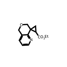 CCOC(=O)C1CC12COCc1cccnc12